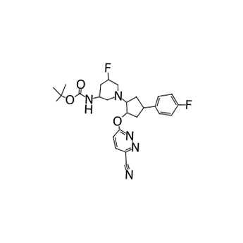 CC(C)(C)OC(=O)NC1CC(F)CN(C2CC(c3ccc(F)cc3)CC2Oc2ccc(C#N)nn2)C1